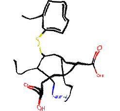 CCC1C(Sc2ccccc2C)C2C(C(=O)O)C2(CC)C1(N)C(=O)O